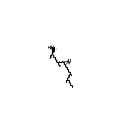 CC(=O)[O-].CCCCCCC(CC)CCCC(C)CCCCCCCCC(C)CCCC(CCC)CCCCCCC(CCC)CC[n+]1cc[nH]c1